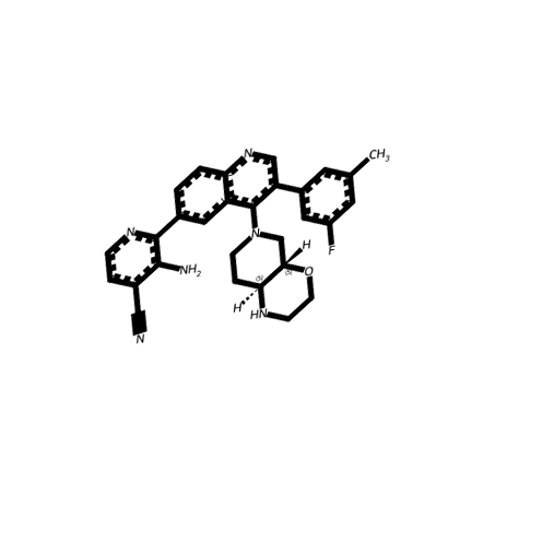 Cc1cc(F)cc(-c2cnc3ccc(-c4nccc(C#N)c4N)cc3c2N2CC[C@@H]3NCCO[C@H]3C2)c1